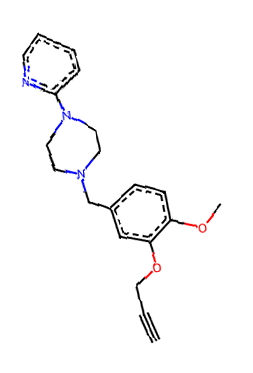 C#CCOc1cc(CN2CCN(c3ccccn3)CC2)ccc1OC